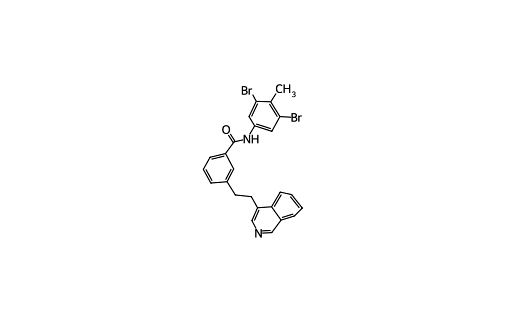 Cc1c(Br)cc(NC(=O)c2cccc(CCc3cncc4ccccc34)c2)cc1Br